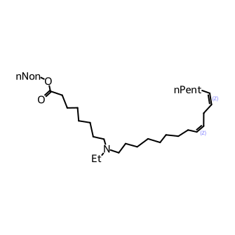 CCCCC/C=C\C/C=C\CCCCCCCCN(CC)CCCCCCCC(=O)OCCCCCCCCC